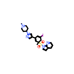 CN1CCC(n2cc(C3=CC(C)(S(=O)(=O)n4ccc5cccnc54)CC(I)=C3)cn2)CC1